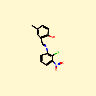 Cc1ccc(O)c(/C=N/c2cccc([N+](=O)[O-])c2Cl)c1